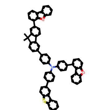 CC1(C)c2ccc(-c3ccc(N(c4ccc(-c5ccc6sc7ccccc7c6c5)cc4)c4ccc(-c5cccc6oc7ccccc7c56)cc4)cc3)cc2-c2ccc(-c3cccc4c3oc3ccccc34)cc21